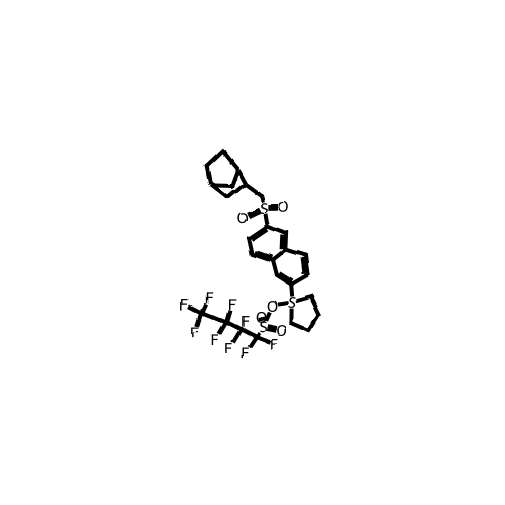 O=S(=O)(CC1CC2CCC1C2)c1ccc2cc(S3(OS(=O)(=O)C(F)(F)C(F)(F)C(F)(F)C(F)(F)F)CCCC3)ccc2c1